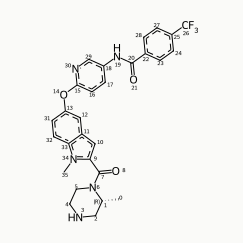 C[C@@H]1CNCCN1C(=O)c1cc2cc(Oc3ccc(NC(=O)c4ccc(C(F)(F)F)cc4)cn3)ccc2n1C